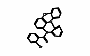 O=C(c1ccccc1Br)N1c2ccccc2N2c3ccccc3Oc3cccc1c32